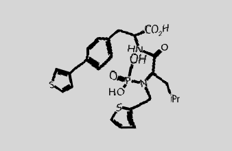 CC(C)CC(C(=O)NC(Cc1ccc(-c2ccsc2)cc1)C(=O)O)N(Cc1cccs1)P(=O)(O)O